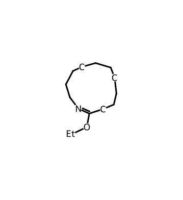 CCOC1=NCCCCCCCCCC1